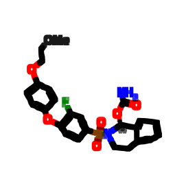 COCCOc1ccc(Oc2ccc(S(=O)(=O)N3CCc4ccccc4[C@H]3OC(N)=O)cc2F)cc1